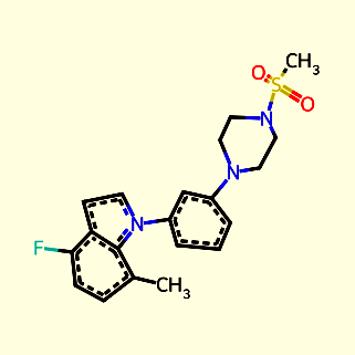 Cc1ccc(F)c2ccn(-c3cccc(N4CCN(S(C)(=O)=O)CC4)c3)c12